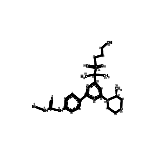 CCNC(=S)Nc1ccc(-c2nc(N3CCOC[C@@H]3C)cc(C(C)(C)S(=O)(=O)CCCO)n2)cc1